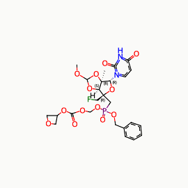 COC1O[C@@H]2[C@@](CF)(CP(=O)(OCOC(=O)OC3COC3)OCc3ccccc3)O[C@@H](n3ccc(=O)[nH]c3=O)[C@]2(C)O1